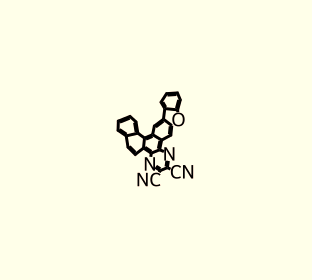 N#Cc1nc2c3cc4oc5ccccc5c4cc3c3c4ccccc4ccc3c2nc1C#N